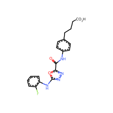 O=C(O)CCCc1ccc(NC(=O)c2nnc(Nc3ccccc3F)o2)cc1